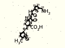 Cc1ccc(SCC2=C(C(=O)O)N3C(=O)[C@@H](NC(=O)Cc4ccc(CN)s4)[C@H]3SC2)n[n+]1[O-]